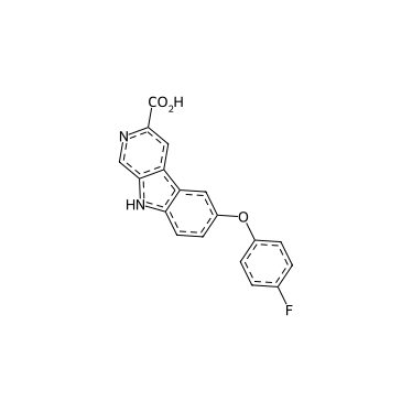 O=C(O)c1cc2c(cn1)[nH]c1ccc(Oc3ccc(F)cc3)cc12